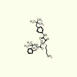 CC(C)(C)Cc1ccc(NC(=O)C(=O)[C@H](CCCCN)NC(=O)[C@H](Cc2ccccc2)NC(C)(C)C)cc1